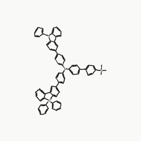 C[Si](C)(C)c1ccc(-c2ccc(N(c3ccc(-c4ccc5c(c4)-c4ccccc4[Si]5(c4ccccc4)c4ccccc4)cc3)c3ccc(-c4ccc5c(c4)c4ccccc4n5-c4ccccc4)cc3)cc2)cc1